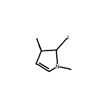 CC1C=CN(C)C1I